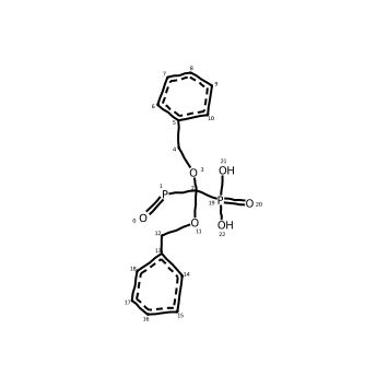 O=PC(OCc1ccccc1)(OCc1ccccc1)P(=O)(O)O